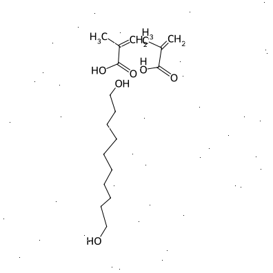 C=C(C)C(=O)O.C=C(C)C(=O)O.OCCCCCCCCCCO